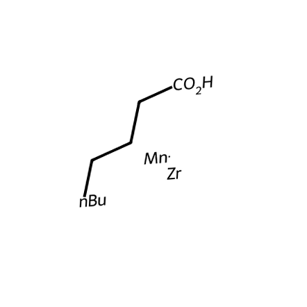 CCCCCCCC(=O)O.[Mn].[Zr]